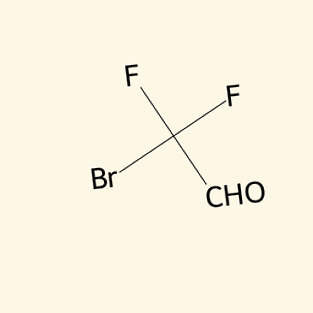 O=CC(F)(F)Br